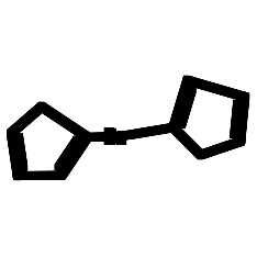 [Be]([C]1=CC=CC1)[C]1=CC=CC1